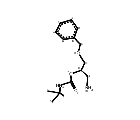 CC(C)(C)NC(=O)O[C@H](CN)COCc1ccccc1